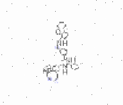 C1=C(c2cccc(/C=C\NCc3cccc4c3oc3ccccc34)c2)NC(c2ccccc2)NC1c1ccc2c(c1)C/C=C\C=C/C[PH]21CCCCC1